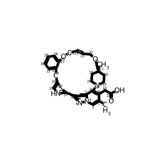 Cc1cn2nc3cc2c(c1CC(=O)O)N1CCC(C)(CC1)OC/C=C/COc1ccccc1CC1=CNC3S1